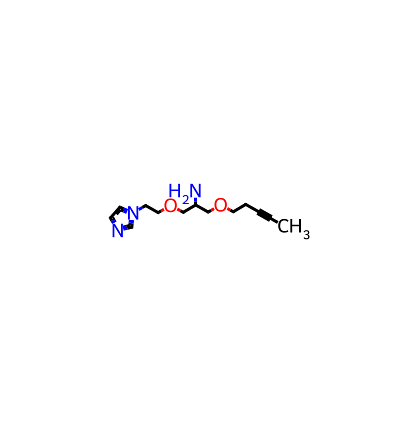 CC#CCCOCC(N)COCCn1ccnc1